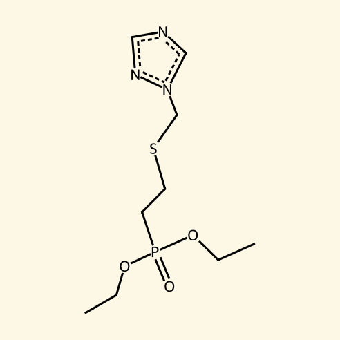 CCOP(=O)(CCSCn1cncn1)OCC